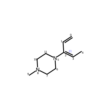 C=C/C(=C\C)N1CCN(C)CC1